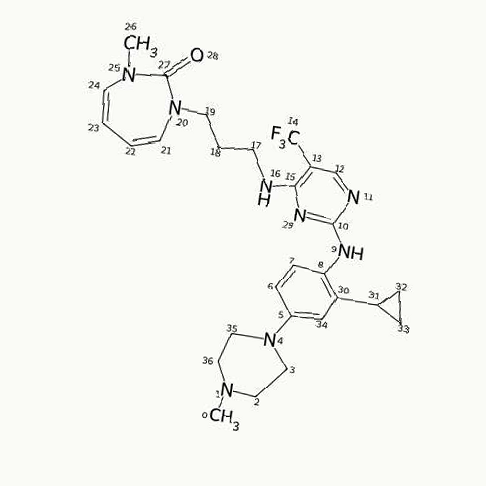 CN1CCN(c2ccc(Nc3ncc(C(F)(F)F)c(NCCCN4C=CC=CN(C)C4=O)n3)c(C3CC3)c2)CC1